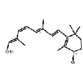 CC1=C(/C=C/C(C)=C/C=C\C(C)=C\C=O)C(C)(C)CC[C@H]1O